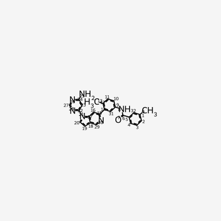 Cc1cccc(C(=O)Nc2ccc(C)c(-c3cc4c(ccn4-c4cc(N)ncn4)cn3)c2)c1